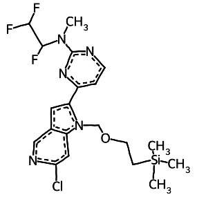 CN(c1nccc(-c2cc3cnc(Cl)cc3n2COCC[Si](C)(C)C)n1)C(F)C(F)F